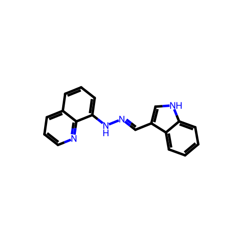 C(=NNc1cccc2cccnc12)c1c[nH]c2ccccc12